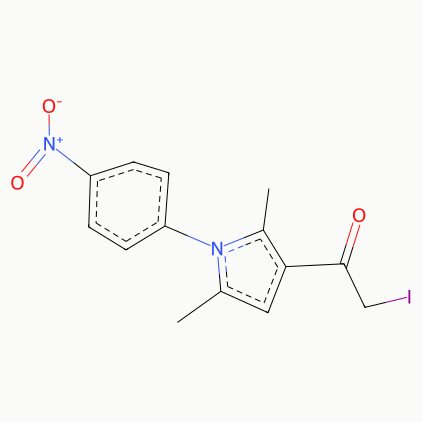 Cc1cc(C(=O)CI)c(C)n1-c1ccc([N+](=O)[O-])cc1